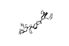 CC(Cc1cnc[nH]1)OC(=O)c1ccc2nc(-c3cc(Cl)cc(Cl)c3)oc2c1